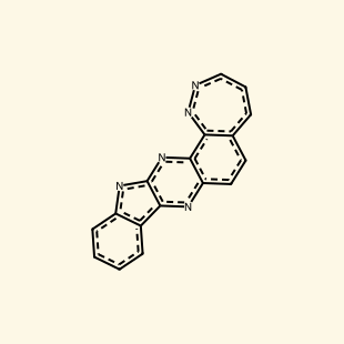 c1cnnc2c(c1)ccc1nc3c(nc4ccccc43)nc12